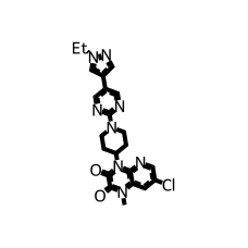 CCn1cc(-c2cnc(N3CCC(n4c(=O)c(=O)n(C)c5cc(Cl)cnc54)CC3)nc2)cn1